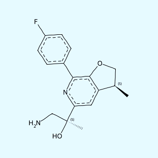 C[C@@H]1COc2c1cc([C@@](C)(O)CN)nc2-c1ccc(F)cc1